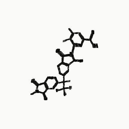 Cc1cc(C(=O)O)cc(N2C(=O)c3ccc(C(C)(c4ccc5c(c4)C(=O)N(C)C5=O)C(F)(F)F)cc3C2=O)c1C